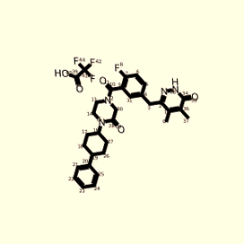 Cc1c(Cc2ccc(F)c(C(=O)N3CCN(C4CCC(c5ccccc5)CC4)C(=O)C3)c2)n[nH]c(=O)c1C.O=C(O)C(F)(F)F